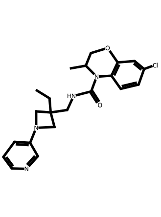 CCC1(CNC(=O)N2c3ccc(Cl)cc3OCC2C)CN(c2cccnc2)C1